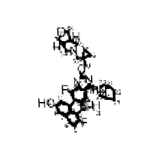 C#Cc1c(F)ccc2cc(O)cc(-c3c(C)cc4c(N5CC6CCC(C5)N6)nc(OCC5(CN6C[C@H]7COC[C@H]7C6)CC5)nc4c3F)c12